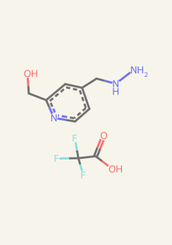 NNCc1ccnc(CO)c1.O=C(O)C(F)(F)F